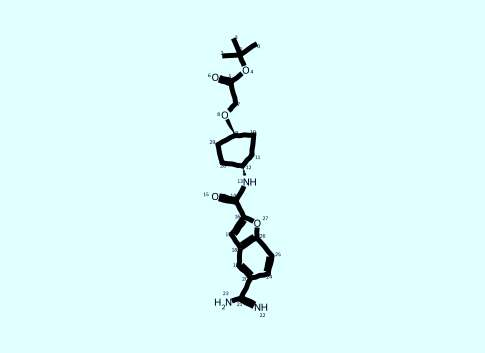 CC(C)(C)OC(=O)CO[C@H]1CC[C@H](NC(=O)c2cc3cc(C(=N)N)ccc3o2)CC1